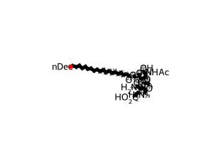 CCCCCCCCCCCCCCCCCCCCCCCCCCCCCC(=O)OC[C@H]1O[C@H](O)[C@H](NC(C)=O)[C@@H](OC(C)CN(C(=O)[C@H](C)N)[C@H](CCC(=O)O)C(N)=O)[C@@H]1O